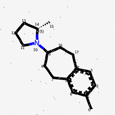 Cc1ccc2c(c1)CCC(N1CCC[C@@H]1C)CC2